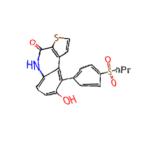 CCCS(=O)(=O)c1ccc(-c2c(O)ccc3[nH]c(=O)c4sccc4c23)cc1